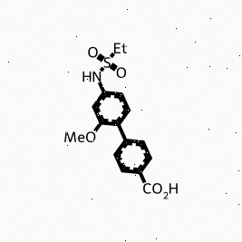 CCS(=O)(=O)Nc1ccc(-c2ccc(C(=O)O)cc2)c(OC)c1